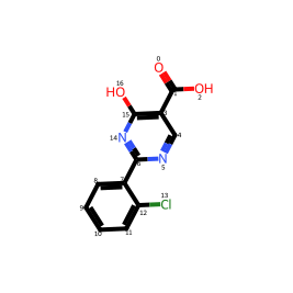 O=C(O)c1cnc(-c2ccccc2Cl)nc1O